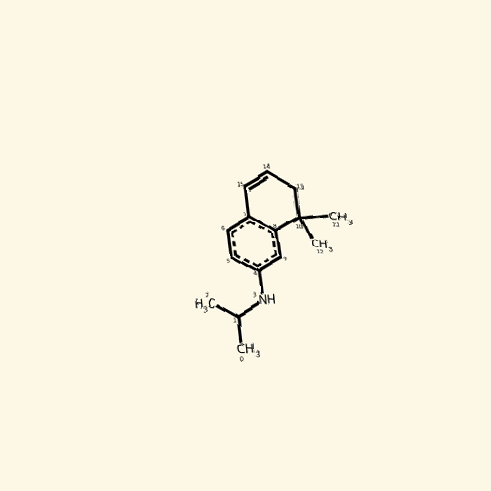 CC(C)Nc1ccc2c(c1)C(C)(C)CC=C2